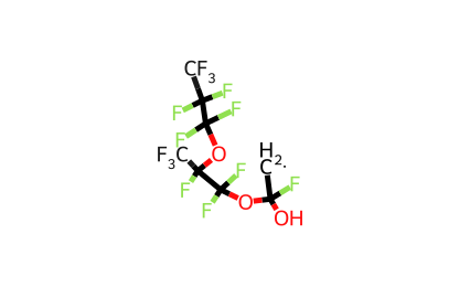 [CH2]C(O)(F)OC(F)(F)C(F)(OC(F)(F)C(F)(F)C(F)(F)F)C(F)(F)F